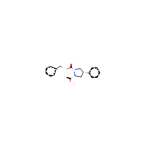 O=C(OCc1ccccc1)N1C[C@@H](c2ccccc2)C[C@H]1C(O)=S